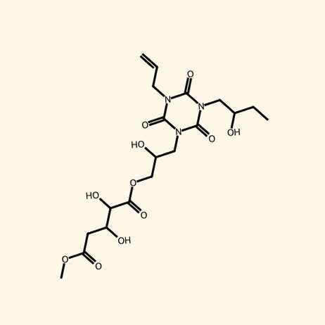 C=CCn1c(=O)n(CC(O)CC)c(=O)n(CC(O)COC(=O)C(O)C(O)CC(=O)OC)c1=O